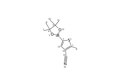 Cc1sc(B2OC(C)(C)C(C)(C)O2)cc1C#N